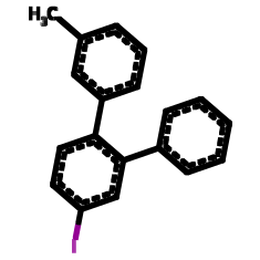 Cc1cccc(-c2ccc(I)cc2-c2ccccc2)c1